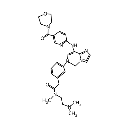 CN(C)CCN(C)C(=O)Cc1cccc(N2C=C(Nc3ccc(C(=O)N4CCOCC4)cn3)C3=NC=C[N+]3C2)c1